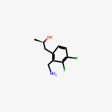 C[C@@H](O)Cc1ccc(F)c(F)c1CN